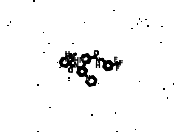 CNCC1(C(=O)Nc2ccc(N3CCCCC3)cc2-c2cc(C(=O)NCc3cccc(C(F)(F)F)c3)ccn2)C=CC=CN1